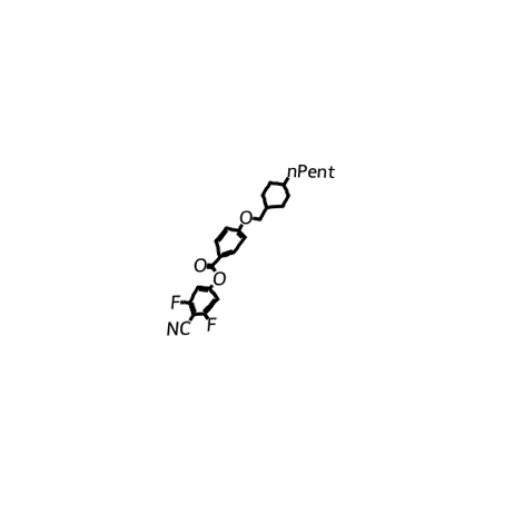 CCCCCC1CCC(COc2ccc(C(=O)Oc3cc(F)c(C#N)c(F)c3)cc2)CC1